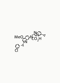 COc1cc([C@H]2C[C@@H]2c2cccc(Cl)c2)nc2cc(N(Cc3cn4cc(C5CC5)ccc4n3)C(=O)O)ccc12